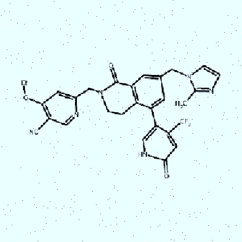 CCOc1cc(CN2CCc3c(cc(Cn4ccnc4C)cc3-c3c[nH]c(=O)cc3C(F)(F)F)C2=O)ncc1C#N